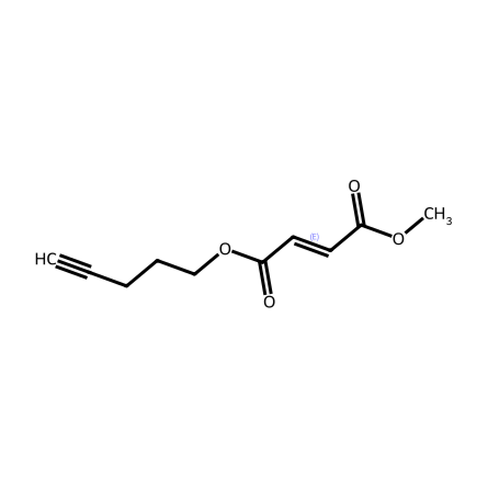 C#CCCCOC(=O)/C=C/C(=O)OC